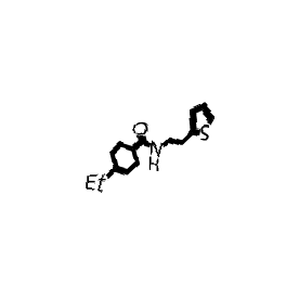 CCC1CCC(C(=O)NCCc2cccs2)CC1